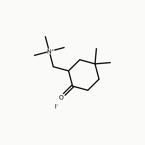 CC1(C)CCC(=O)C(C[N+](C)(C)C)C1.[I-]